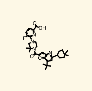 CC1(C)CCC(c2cc(C(C)(C)C)c3oc(C(=O)N4CCN(c5nc(C(=O)O)ccc5F)CC4(C)C)cc3n2)CC1